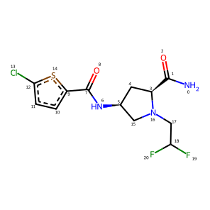 NC(=O)[C@@H]1C[C@H](NC(=O)c2ccc(Cl)s2)CN1CC(F)F